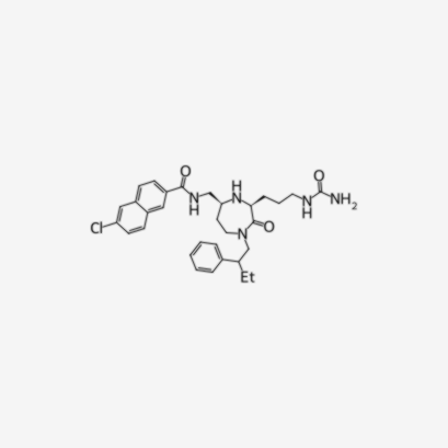 CCC(CN1CC[C@@H](CNC(=O)c2ccc3cc(Cl)ccc3c2)N[C@@H](CCCNC(N)=O)C1=O)c1ccccc1